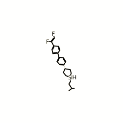 CC(C)CC[Si@H]1CC[C@H](c2ccc(-c3ccc(C(F)=CF)cc3)cc2)CC1